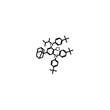 CC(C)C(C)N(c1ccc(C(C)(C)C)cc1)c1cc(C23CC4CC(CC(C4)C2)C3)cc(N(c2ccc(C(C)(C)C)cc2)c2ccc(C(C)(C)C)cc2)c1Cl